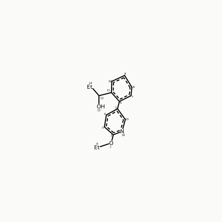 CCOc1ccc(-c2ccccc2C(O)CC)cn1